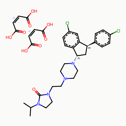 CC(C)N1CCN(CCN2CCN([C@H]3C[C@H](c4ccc(Cl)cc4)c4cc(Cl)ccc43)CC2)C1=O.O=C(O)/C=C\C(=O)O.O=C(O)/C=C\C(=O)O